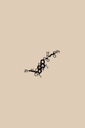 CC(C)CCCC(C)C1CC[C@H]2[C@@H]3CC=C4C[C@@H](OC(=O)NCCC(=O)OC(C)C)CC[C@]4(C)[C@H]3CC[C@]12C